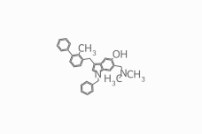 Cc1c(Cc2cn(Cc3ccccc3)c3cc(CN(C)C)c(O)cc23)cccc1-c1ccccc1